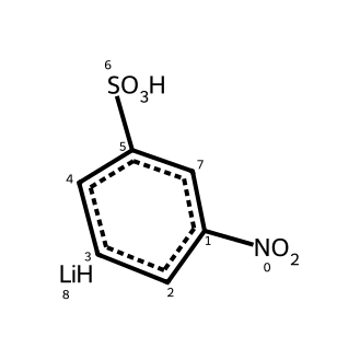 O=[N+]([O-])c1cccc(S(=O)(=O)O)c1.[LiH]